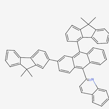 CC1(C)c2ccccc2-c2ccc(-c3ccc4c(-c5ccc6ccccc6n5)c5ccccc5c(-c5cccc6c5-c5ccccc5C6(C)C)c4c3)cc21